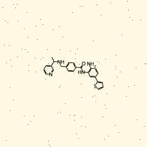 CC(NCc1ccc(C(=O)Nc2cc(-c3cccs3)ccc2N)cc1)c1cccnc1